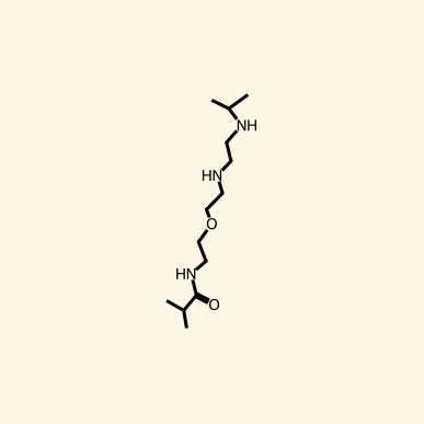 CC(C)NCCNCCOCCNC(=O)C(C)C